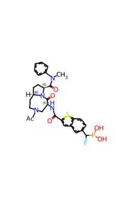 CC(=O)N1CC[C@H]2CC[C@@H](C(=O)N(C)c3ccccc3)N2C(=O)[C@@H](NC(=O)c2cc3cc(C(F)P(O)O)ccc3s2)C1